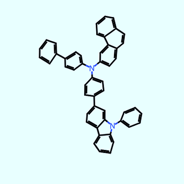 c1ccc(-c2ccc(N(c3ccc(-c4ccc5c6ccccc6n(-c6ccccc6)c5c4)cc3)c3ccc4ccc5ccccc5c4c3)cc2)cc1